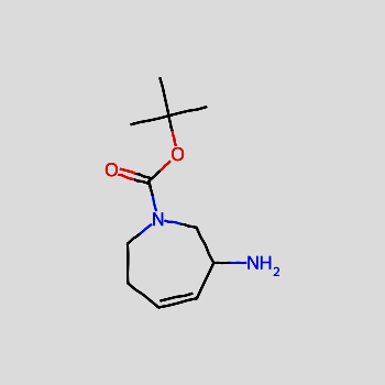 CC(C)(C)OC(=O)N1CCC=CC(N)C1